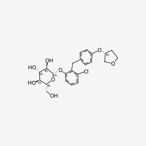 OC[C@H]1O[C@@H](Oc2cccc(Cl)c2Cc2ccc(O[C@@H]3CCOC3)cc2)[C@H](O)[C@@H](O)[C@@H]1O